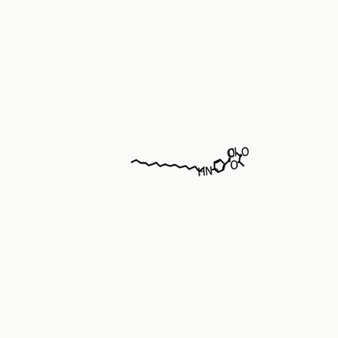 CCCCCCCCCCCCCCCCNc1ccc(C(=O)OC(C)C(=O)Cl)cc1